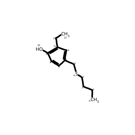 CCCCSCc1ccc(O)c(CC)c1